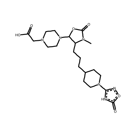 CN1C(=O)OC(N2CCN(CC(=O)O)CC2)C1CCCC1CCN(c2noc(=O)[nH]2)CC1